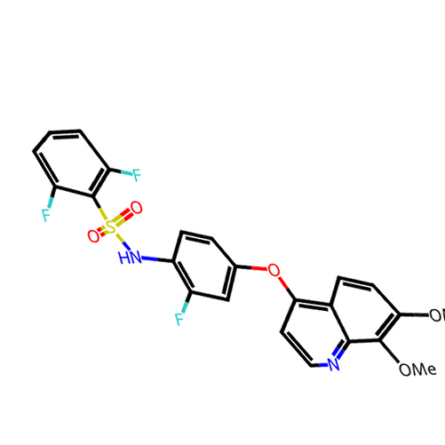 COc1ccc2c(Oc3ccc(NS(=O)(=O)c4c(F)cccc4F)c(F)c3)ccnc2c1OC